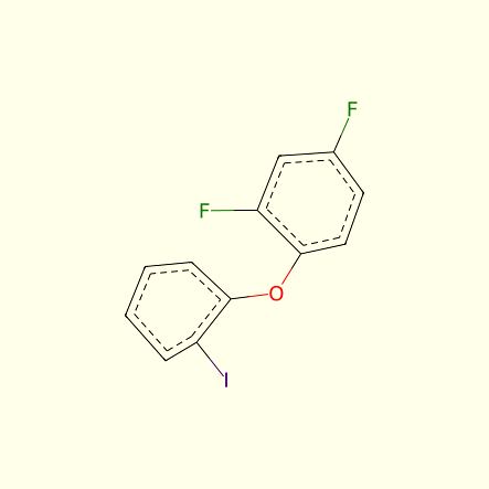 Fc1ccc(Oc2ccccc2I)c(F)c1